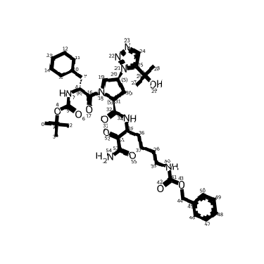 CC(C)(C)OC(=O)N[C@H](CC1CCCCC1)C(=O)N1C[C@@H](n2nncc2C(C)(C)O)C[C@H]1C(=O)NC(CCCCNC(=O)OCc1ccccc1)C(=O)C(N)=O